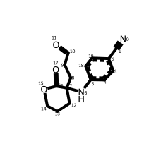 N#Cc1ccc(NC2(CCC=O)CCCOC2=O)cc1